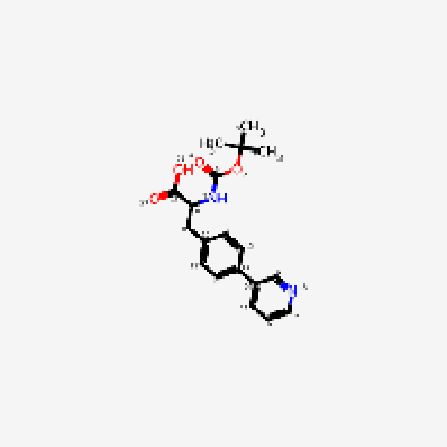 CC(C)(C)OC(=O)NC(Cc1ccc(-c2cccnc2)cc1)C(=O)O